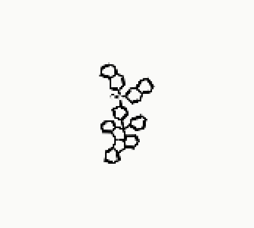 O=P(c1ccc(C2(c3ccccc3)c3ccccc3-n3c4ccccc4c4cccc2c43)cc1)(c1ccc2ccccc2c1)c1ccc2ccccc2c1